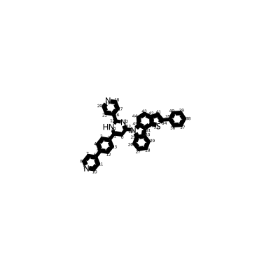 C1=C(c2ccc(-c3ccncc3)cc2)NC(c2ccncc2)N=C1n1c2ccccc2c2c3sc(-c4ccccc4)cc3ccc21